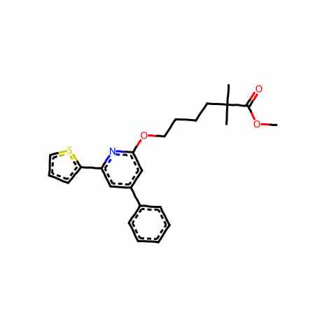 COC(=O)C(C)(C)CCCCOc1cc(-c2ccccc2)cc(-c2cccs2)n1